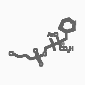 CC(=O)O[C@@](Cc1cccnc1)(C(=O)O)C(C)(C)COS(=O)(=O)CCCCl